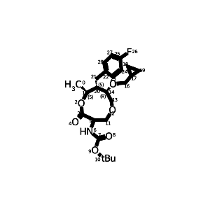 C[C@@H]1OC(=O)C(NC(=O)OC(C)(C)C)COC[C@H](OCC2CC2)[C@H]1Cc1ccc(F)cc1